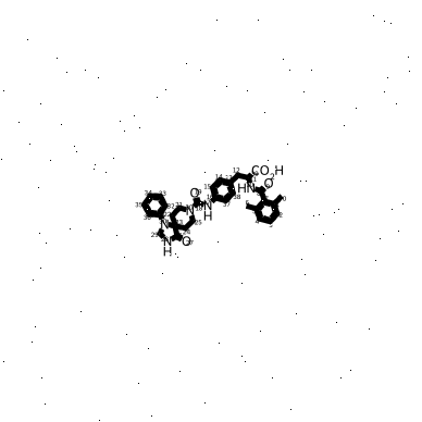 Cc1cccc(C)c1C(=O)NC(Cc1ccc(NC(=O)N2CCC3(CC2)C(=O)NCN3c2ccccc2)cc1)C(=O)O